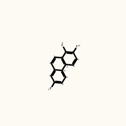 Fc1[c]c2ccc3c(F)c(F)[c]cc3c2cc1